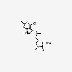 Cc1nc(Cl)c2c(CN(C)CCCN(C)C(=O)OC(C)(C)C)c[nH]c2n1